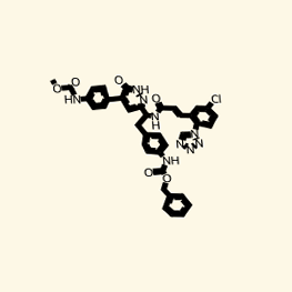 COC(=O)Nc1ccc(-c2cc(C(Cc3ccc(NC(=O)OCc4ccccc4)cc3)NC(=O)/C=C/c3cc(Cl)ccc3-n3cnnn3)n[nH]c2=O)cc1